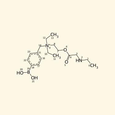 CCNCC(=O)OCC[N+](CC)(CC)Cc1ccc(B(O)O)cc1